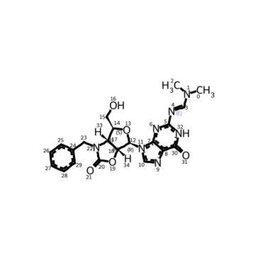 CN(C)/C=N/c1nc2c(ncn2[C@@H]2O[C@H](CO)[C@@H]3[C@H]2OC(=O)N3Cc2ccccc2)c(=O)[nH]1